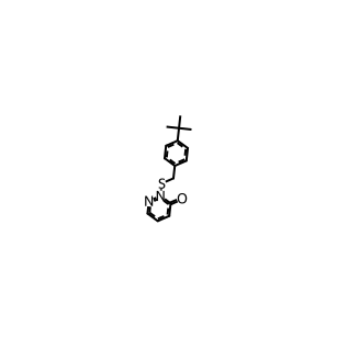 CC(C)(C)c1ccc(CSn2ncccc2=O)cc1